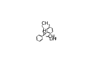 C=C[PH](CCCC)(c1ccccc1)c1ccccc1.[LiH]